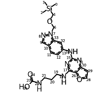 C[Si](C)(C)COCn1ncc2ccc(Nc3nc(NCCCNC(=O)O)c4occc4n3)cc21